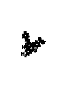 CC(=O)C(c1ccc([N+](=O)[O-])cc1)C(NC(=O)OCc1ccccc1)C(O)C(F)(F)CN